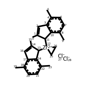 CC1=Cc2c(C)ccc(C)c2[CH]1[Zr+2]1([CH]2C(C)=Cc3c(C)ccc(C)c32)[CH2][CH2]1.[Cl-].[Cl-]